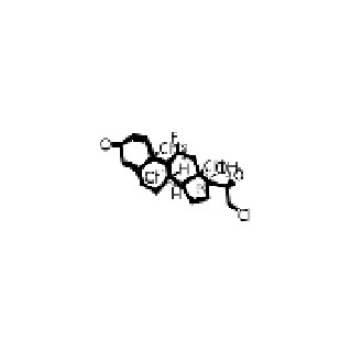 C[C@]12C=CC(=O)C=C1CC[C@H]1[C@@H]3CC[C@](O)(C(=O)CCl)[C@@]3(C)C[C@H](F)[C@@]12Cl